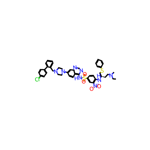 CCN(C)CC[C@H](CSc1ccccc1)Nc1ccc(S(=O)(=O)Nc2ncnc3cc(N4CCN(Cc5ccccc5-c5ccc(Cl)cc5)CC4)ccc23)cc1[N+](=O)[O-]